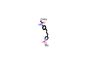 COCC(=O)Nc1ccc(CCCC2CCN(C(=O)OC(C)(C)C)CC2)cc1